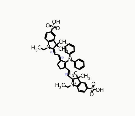 CCN1/C(=C/C=C2\CCC(/C=C/C3=[N+](CC)c4ccc(S(=O)(=O)O)cc4C3(C)C)=C2N(c2ccccc2)c2ccccc2)C(C)(C)c2cc(S(=O)(=O)O)ccc21